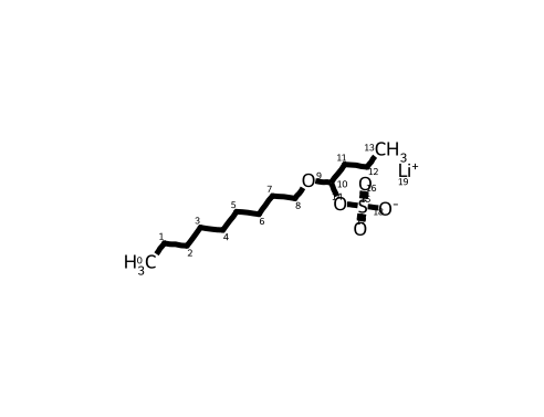 CCCCCCCCCOC(CCC)OS(=O)(=O)[O-].[Li+]